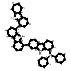 c1ccc(N(c2ccccc2)c2cccc3c2oc2cc(-c4cccc5c4oc4c(-c6cccc7c6oc6ccccc67)cccc45)ccc23)cc1